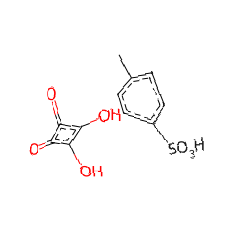 Cc1ccc(S(=O)(=O)O)cc1.O=c1c(O)c(O)c1=O